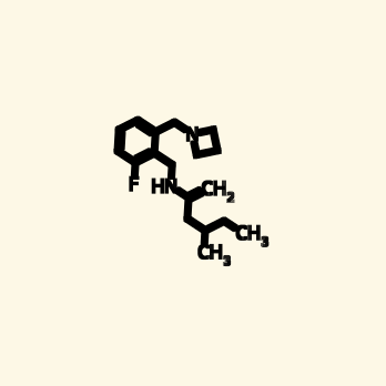 C=C(CC(C)CC)NCc1c(F)cccc1CN1CCC1